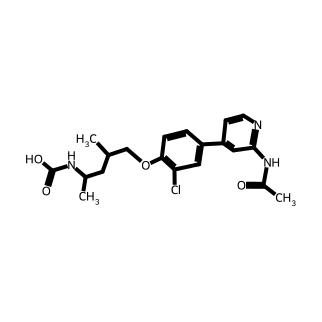 CC(=O)Nc1cc(-c2ccc(OCC(C)CC(C)NC(=O)O)c(Cl)c2)ccn1